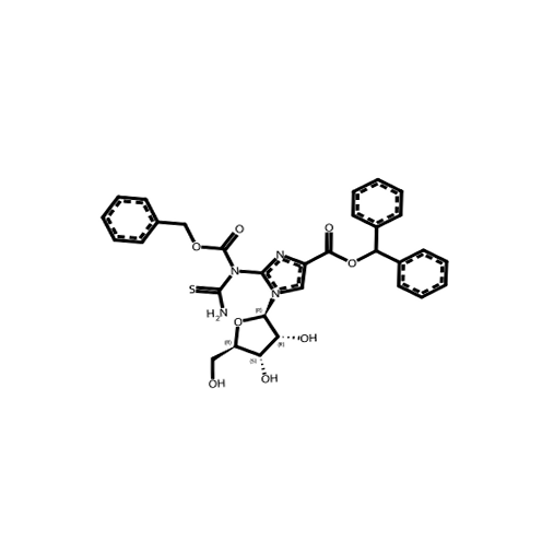 NC(=S)N(C(=O)OCc1ccccc1)c1nc(C(=O)OC(c2ccccc2)c2ccccc2)cn1[C@@H]1O[C@H](CO)[C@@H](O)[C@H]1O